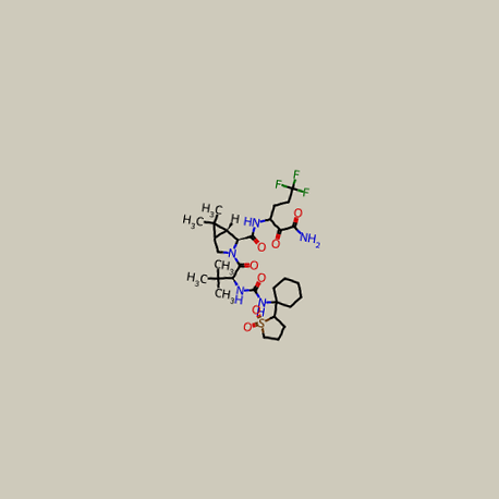 CC(C)(C)[C@H](NC(=O)NC1(C2CCCS2(=O)=O)CCCCC1)C(=O)N1CC2[C@@H]([C@H]1C(=O)NC(CCC(F)(F)F)C(=O)C(N)=O)C2(C)C